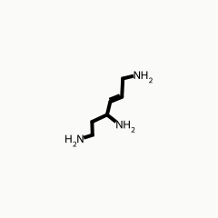 NCC=CC(N)CCN